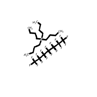 CCCC[N+](CCCC)(CCCC)CCCC.FC(F)(F)C(F)(F)C(F)(F)C(F)(F)C(F)(F)C(F)(F)C(F)(F)F